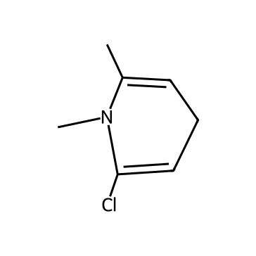 CC1=CCC=C(Cl)N1C